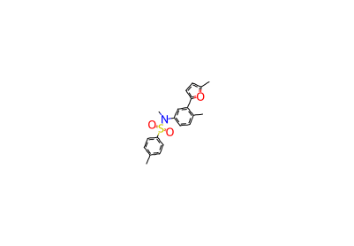 Cc1ccc(S(=O)(=O)N(C)c2ccc(C)c(-c3ccc(C)o3)c2)cc1